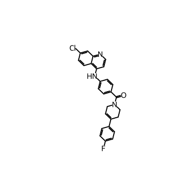 O=C(c1ccc(Nc2ccnc3cc(Cl)ccc23)cc1)N1CC=C(c2ccc(F)cc2)CC1